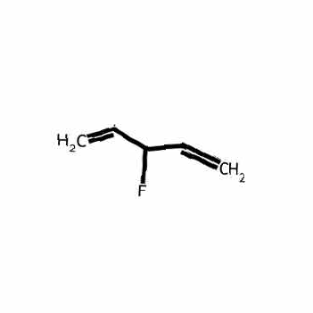 C=[C]C(F)C=C